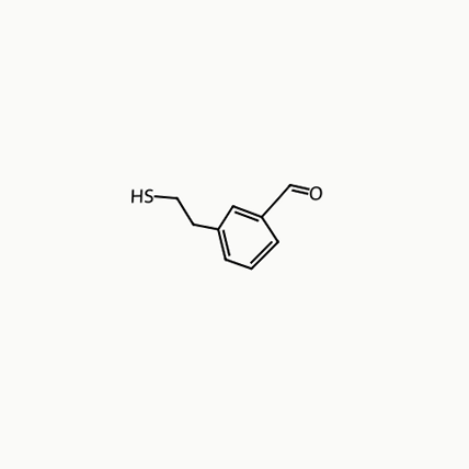 O=Cc1cccc(CCS)c1